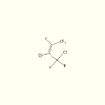 F/C(=C(\Cl)C(F)(F)Cl)C(F)(F)F